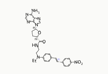 CCN(CCNC(=O)[C@@H]1CC[C@H](n2cnc3c(N)ncnc32)O1)c1ccc(/C=C/c2ccc([N+](=O)[O-])cc2)cc1